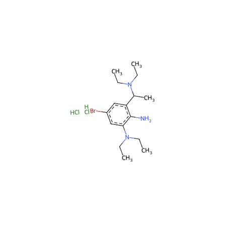 CCN(CC)c1cc(Br)cc(C(C)N(CC)CC)c1N.Cl.Cl